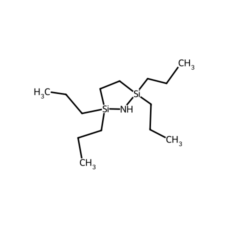 CCC[Si]1(CCC)CC[Si](CCC)(CCC)N1